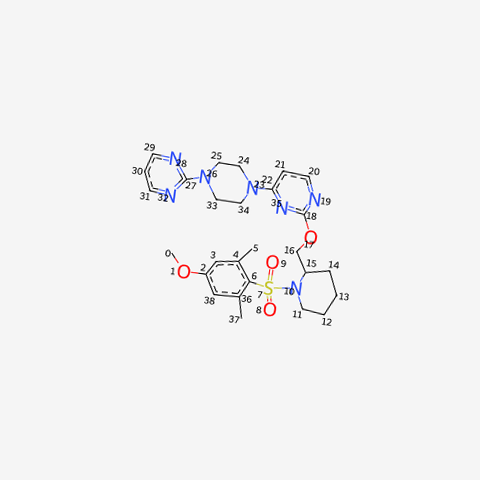 COc1cc(C)c(S(=O)(=O)N2CCCCC2COc2nccc(N3CCN(c4ncccn4)CC3)n2)c(C)c1